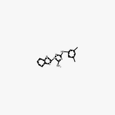 Cc1cc(C)cc(Nc2nc(N)n(-c3nc4ccccc4s3)n2)c1